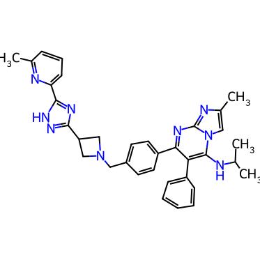 Cc1cccc(-c2nc(C3CN(Cc4ccc(-c5nc6nc(C)cn6c(NC(C)C)c5-c5ccccc5)cc4)C3)n[nH]2)n1